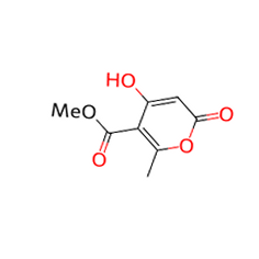 COC(=O)c1c(O)cc(=O)oc1C